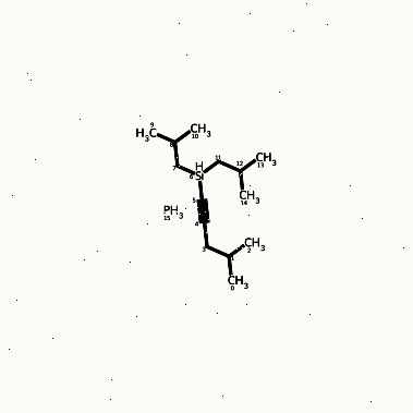 CC(C)CC#C[SiH](CC(C)C)CC(C)C.P